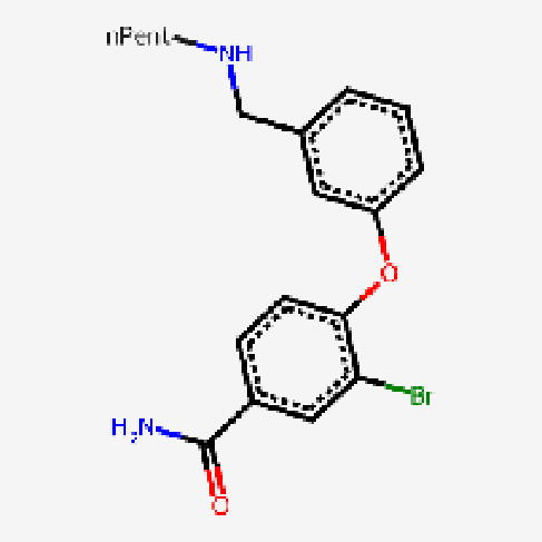 CCCCCNCc1cccc(Oc2ccc(C(N)=O)cc2Br)c1